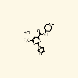 Cl.O=C(NC1CCNCC1)c1cc(C(F)(F)F)nc(-n2ccnc2)n1